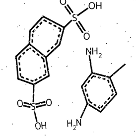 Cc1ccc(N)cc1N.O=S(=O)(O)c1ccc2ccc(S(=O)(=O)O)cc2c1